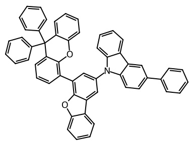 c1ccc(-c2ccc3c(c2)c2ccccc2n3-c2cc(-c3cccc4c3Oc3ccccc3C4(c3ccccc3)c3ccccc3)c3oc4ccccc4c3c2)cc1